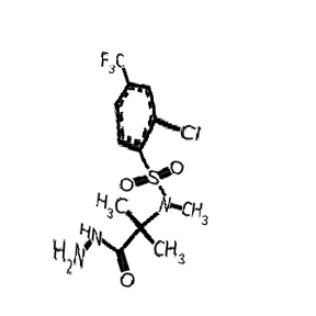 CN(C(C)(C)C(=O)NN)S(=O)(=O)c1ccc(C(F)(F)F)cc1Cl